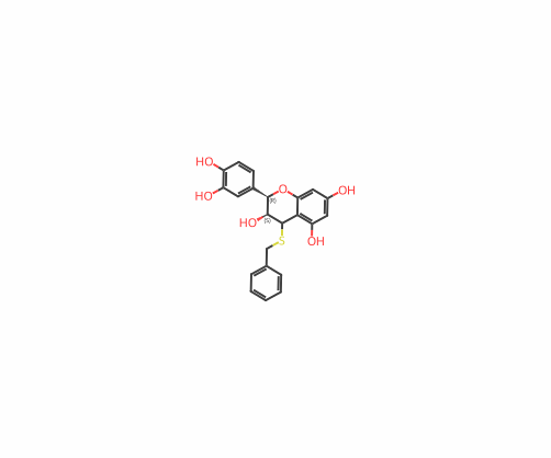 Oc1cc(O)c2c(c1)O[C@H](c1ccc(O)c(O)c1)[C@H](O)C2SCc1ccccc1